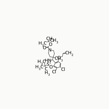 C=CCOc1cc(Cl)c(Cl)cc1C(N[S+]([O-])C(C)(C)C)C1(C)CCN(C(=O)OC(C)(C)C)CC1